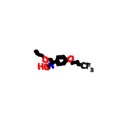 C=CCOC/C(=N\O)c1ccc(OCCCC(F)(F)F)cc1